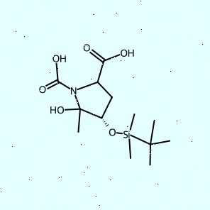 CC1(O)[C@@H](O[Si](C)(C)C(C)(C)C)CC(C(=O)O)N1C(=O)O